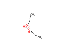 CCCCCCCC=CC(=O)OCC(CO)OC(=O)C=CCCCCCCC